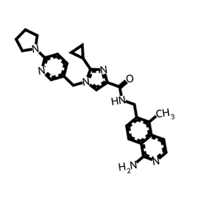 Cc1c(CNC(=O)c2cn(Cc3ccc(N4CCCC4)nc3)c(C3CC3)n2)ccc2c(N)nccc12